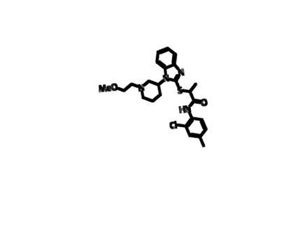 COCCN1CCCC(n2c(SC(C)C(=O)Nc3ccc(C)cc3Cl)nc3ccccc32)C1